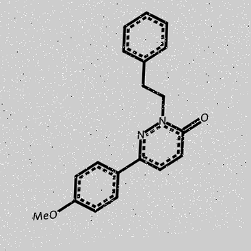 COc1ccc(-c2ccc(=O)n(CCc3ccccc3)n2)cc1